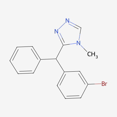 Cn1cnnc1C(c1ccccc1)c1cccc(Br)c1